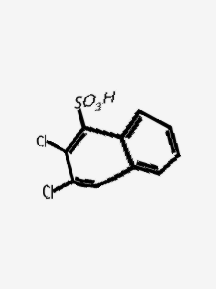 O=S(=O)(O)c1c(Cl)c(Cl)cc2ccccc12